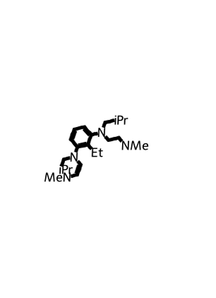 CCc1c(N(/C=C\NC)CC(C)C)cccc1N(CCNC)CC(C)C